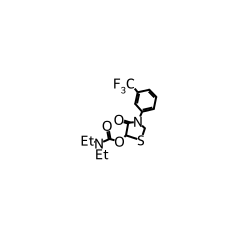 CCN(CC)C(=O)OC1SCN(c2cccc(C(F)(F)F)c2)C1=O